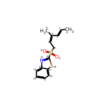 C/C=C/C(C)=C\CS(=O)(=O)c1nc2ccccc2s1